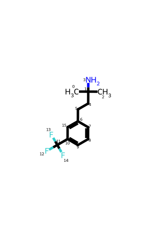 CC(C)(N)CCc1cccc(C(F)(F)F)c1